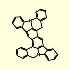 c1ccc2c(c1)Cn1c3ccccc3c3cc4c5c6c(cc4c-2c31)c1ccccc1n6-c1ccccc1C5